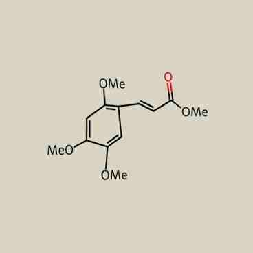 COC(=O)C=Cc1cc(OC)c(OC)cc1OC